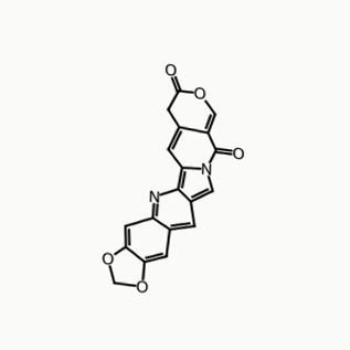 O=C1Cc2cc3c4nc5cc6c(cc5cc4cn3c(=O)c2=CO1)OCO6